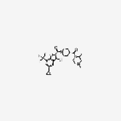 CC1CN(C)CCN1C(=O)C1CCN(C(=O)c2oc3c(C(F)(F)F)cc(C4CC4)cc3c2Cl)CC1